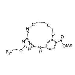 COC(=O)c1ccc2cc1OCCCCCCNc1nc(nc(OCC(F)(F)F)n1)N2